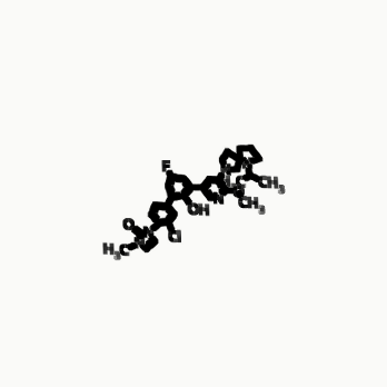 COc1ncc(-c2cc(F)cc(-c3ccc(-n4ccn(C)c4=O)c(Cl)c3)c2O)cc1N1CCC2(CCCN2C(C)C)C1